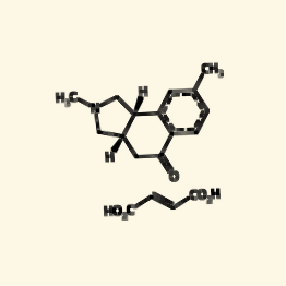 Cc1ccc2c(c1)[C@H]1CN(C)C[C@H]1CC2=O.O=C(O)/C=C/C(=O)O